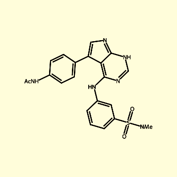 CNS(=O)(=O)c1cccc(Nc2nc[nH]c3ncc(-c4ccc(NC(C)=O)cc4)c2-3)c1